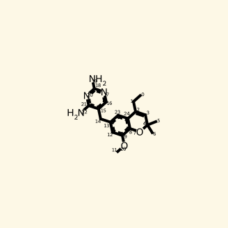 CCC1=CC(C)(C)Oc2c(OC)cc(Cc3cnc(N)nc3N)cc21